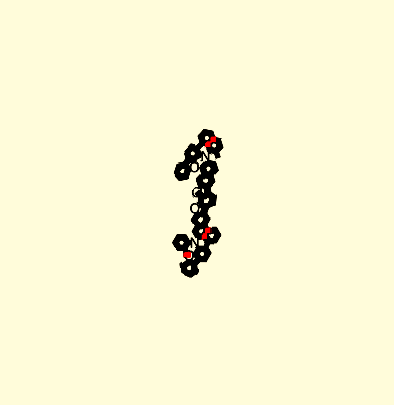 Cc1ccccc1N(c1ccc2cc3c(cc2c1)oc1c3ccc2c3cc4ccc(N(c5ccccc5C)c5c(-c6ccccc6)ccc6c5oc5ccccc56)cc4cc3oc21)c1c(-c2ccccc2)ccc2c1oc1ccccc12